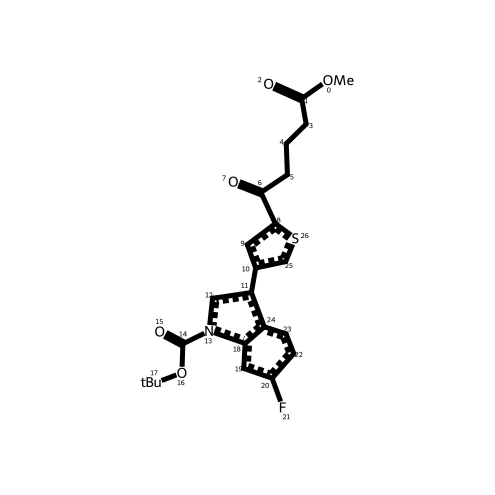 COC(=O)CCCC(=O)c1cc(-c2cn(C(=O)OC(C)(C)C)c3cc(F)ccc23)cs1